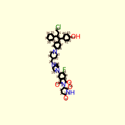 O=C1CCC(N2C(=O)c3cc(F)c(N4CC5CC4CN5CC4CCN(c5ccc(C(=C(CCCl)c6ccccc6)c6ccc(O)cc6)cc5)CC4)cc3C2=O)C(=O)N1